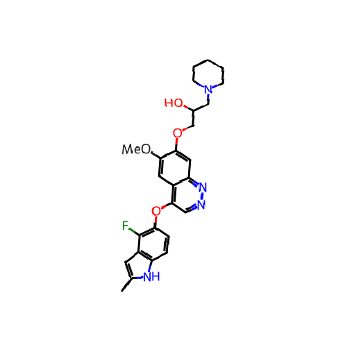 COc1cc2c(Oc3ccc4[nH]c(C)cc4c3F)cnnc2cc1OCC(O)CN1CCCCC1